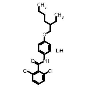 CCCCC(CC)COc1ccc(PC(=O)c2c(Cl)cccc2Cl)cc1.[LiH]